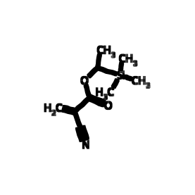 C=C(C#N)C(=O)OC(C)[Si](C)(C)C